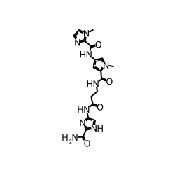 Cn1cc(NC(=O)c2nccn2C)cc1C(=O)NCCC(=O)Nc1c[nH]c(C(N)=O)n1